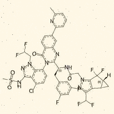 Cc1cccc(-c2ccc3c(=O)n(-c4ccc(Cl)c5c(NS(C)(=O)=O)nn(CC(F)F)c45)c([C@H](Cc4cc(F)cc(F)c4)NC(=O)Cn4nc(C(F)F)c5c4C(F)(F)[C@@H]4CC54)nc3c2)n1